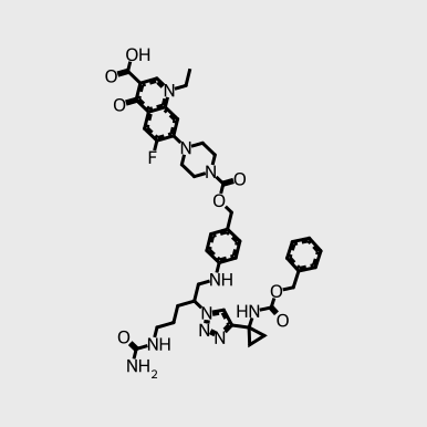 CCn1cc(C(=O)O)c(=O)c2cc(F)c(N3CCN(C(=O)OCc4ccc(NCC(CCCNC(N)=O)n5cc(C6(NC(=O)OCc7ccccc7)CC6)nn5)cc4)CC3)cc21